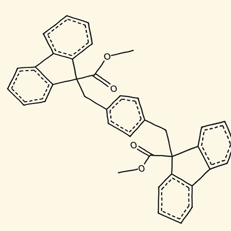 COC(=O)C1(Cc2ccc(CC3(C(=O)OC)c4ccccc4-c4ccccc43)cc2)c2ccccc2-c2ccccc21